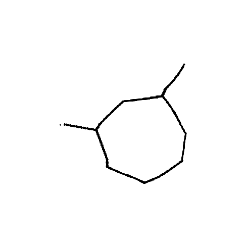 [CH2]C1CCCCC(C)C1